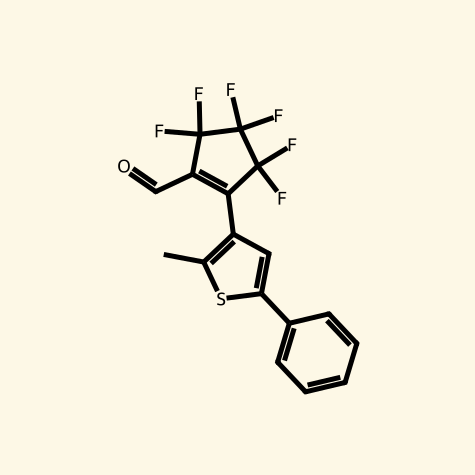 Cc1sc(-c2ccccc2)cc1C1=C(C=O)C(F)(F)C(F)(F)C1(F)F